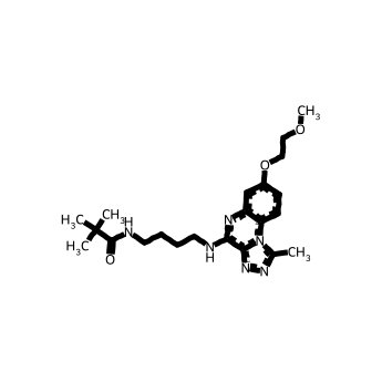 COCCOc1ccc2c(c1)nc(NCCCCNC(=O)C(C)(C)C)c1nnc(C)n12